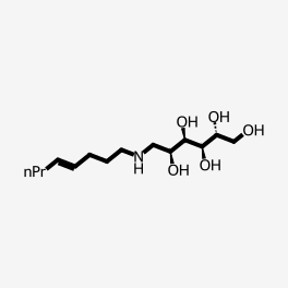 CCC/C=C/CCCNC[C@H](O)[C@@H](O)[C@H](O)[C@H](O)CO